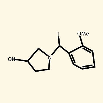 COc1ccccc1C(I)N1CCC(N=O)C1